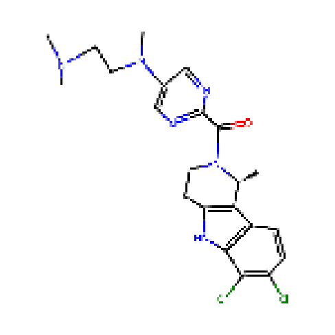 C[C@H]1c2c([nH]c3c(Cl)c(Cl)ccc23)CCN1C(=O)c1ncc(N(C)CCN(C)C)cn1